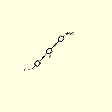 CCCCCCc1ccc(C#Cc2ccc(C#Cc3ccc(CCCCCC)cc3)c(F)c2)cc1